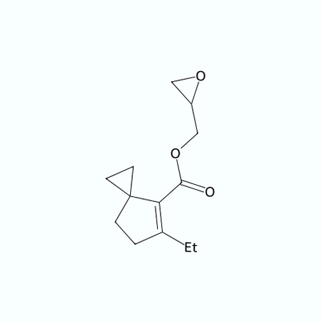 [CH2]CC1=C(C(=O)OCC2CO2)C2(CC1)CC2